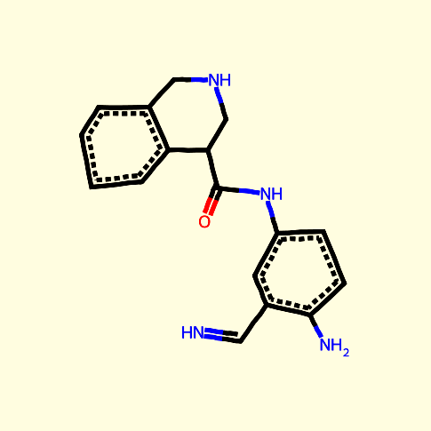 N=Cc1cc(NC(=O)C2CNCc3ccccc32)ccc1N